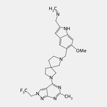 C=NCc1cc2cc(CN3CCC4(CCN(c5nc(C)nc6nn(CC(F)(F)F)cc56)C4)C3)c(OC)cc2[nH]1